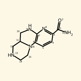 NC(=O)c1ccc2c(n1)NCC1CNCCN21